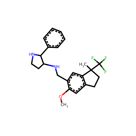 COc1cc2c(cc1CNC1CCNC1c1ccccc1)C(C)(C(F)(F)F)CC2